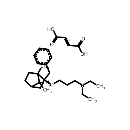 CCN(CC)CCCOC1(Cc2ccccc2)CC2CCC1(C)C2(C)C.O=C(O)/C=C/C(=O)O